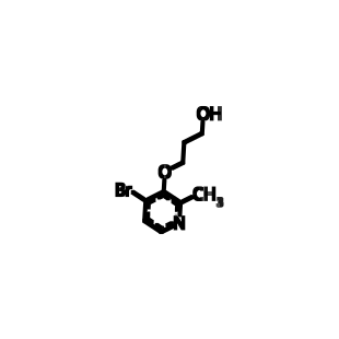 Cc1nccc(Br)c1OCCCO